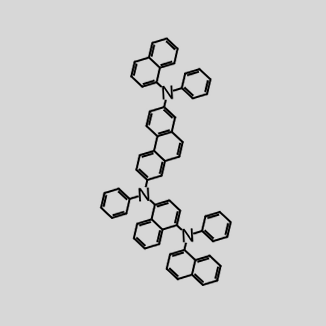 c1ccc(N(c2ccc3c(ccc4cc(N(c5ccccc5)c5ccc(N(c6ccccc6)c6cccc7ccccc67)c6ccccc56)ccc43)c2)c2cccc3ccccc23)cc1